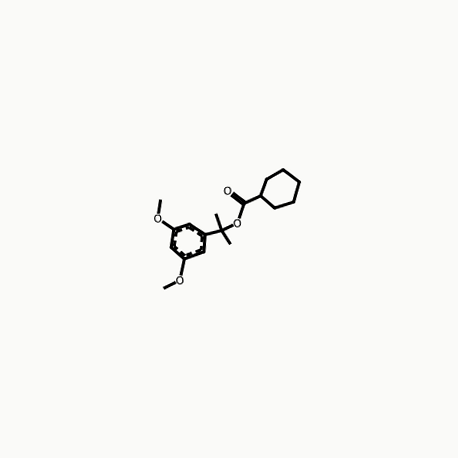 COc1cc(OC)cc(C(C)(C)OC(=O)C2CCCCC2)c1